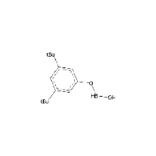 CC(C)(C)c1cc(OBO)cc(C(C)(C)C)c1